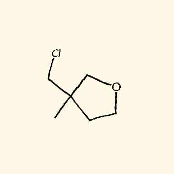 CC1(CCl)CCOC1